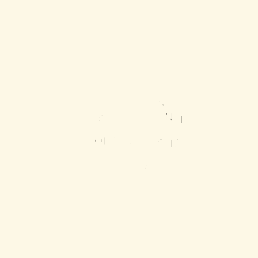 CCn1nc(CC(C)(C)COCc2ccccc2)c(CC2(C=O)CCOCC2)c1C=O